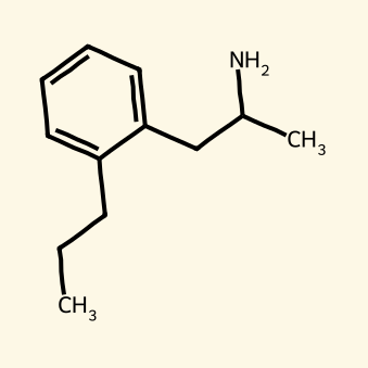 CCCc1ccccc1CC(C)N